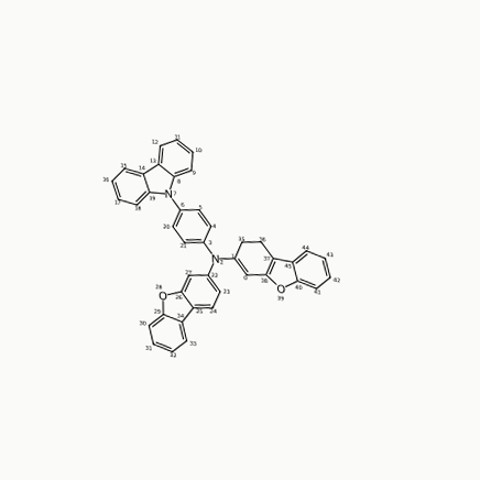 C1=C(N(c2ccc(-n3c4ccccc4c4ccccc43)cc2)c2ccc3c(c2)oc2ccccc23)CCc2c1oc1ccccc21